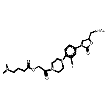 CC(=O)NCC1CN(c2ccc(N3CCN(C(=O)COC(=O)CCCN(C)C)CC3)c(F)c2)C(=O)O1